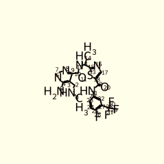 CNCc1c(N)ncnc1C(=O)NC(C)c1ncc(C(=O)Nc2ccc(F)c(C(F)(F)F)c2)s1